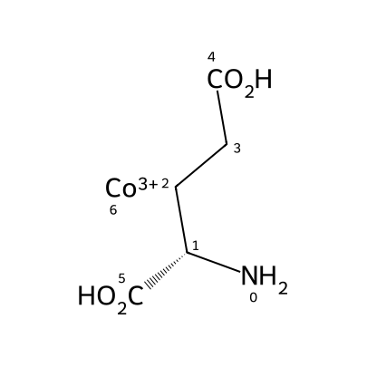 N[C@@H](CCC(=O)O)C(=O)O.[Co+3]